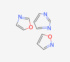 c1cncnc1.c1cnoc1.c1cocn1